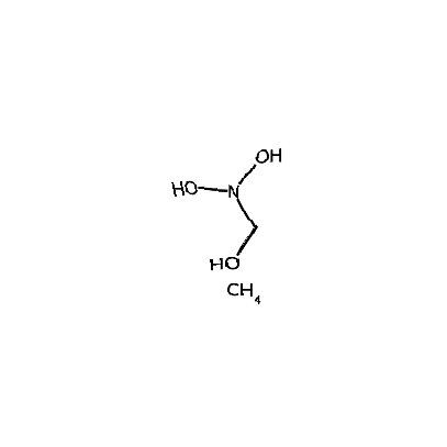 C.OCN(O)O